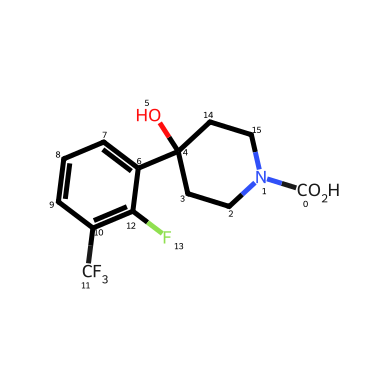 O=C(O)N1CCC(O)(c2cccc(C(F)(F)F)c2F)CC1